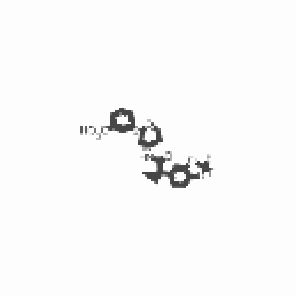 O=C(O)c1cccc([C@H]2C[C@@H](NC(=O)C3(c4ccc5c(c4)OC(F)(F)O5)CC3)CCO2)c1